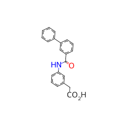 O=C(O)Cc1cccc(NC(=O)c2cccc(-c3ccccc3)c2)c1